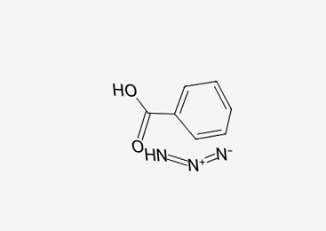 O=C(O)c1ccccc1.[N-]=[N+]=N